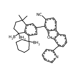 BC1(B)CCC(C)(C)c2cc(-c3c(C#N)ccc4c3oc3c(-c5ccccn5)cccc34)cc(C3(B)CCCCC3)c21